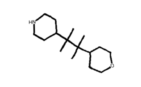 CC(C)(C1CCNCC1)C(C)(C)C1CCOCC1